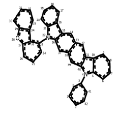 c1ccc(-n2c3ccccc3c3cc4cc5c6ccccc6n(-c6cccc7oc8ccccc8c67)c5cc4cc32)cc1